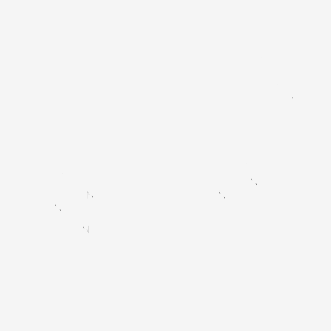 CC1(C)c2ccccc2-c2cc(-c3cc(-c4cccc(-c5cccc(-c6nc(-c7ccccc7)nc(-c7cccc(-c8ccccc8)c7)n6)c5)c4)nc(-c4ccccc4)n3)ccc21